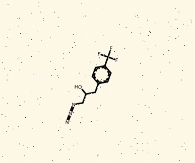 [N-]=[N+]=NCC(O)Cc1ccc(C(F)(F)F)cc1